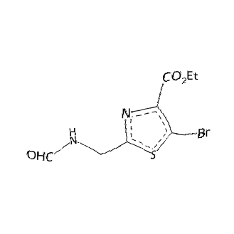 CCOC(=O)c1nc(CNC=O)sc1Br